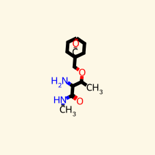 CNC(=O)C(N)C(C)OCC12CCC(CC1)OC2